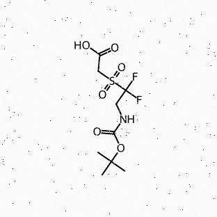 CC(C)(C)OC(=O)NCC(F)(F)S(=O)(=O)CC(=O)O